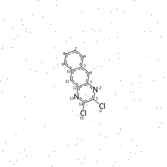 Clc1nc2cc3ccccc3cc2nc1Cl